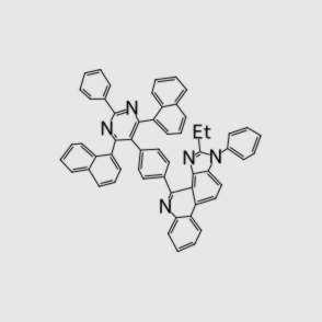 CCc1nc2c3c(-c4ccc(-c5c(-c6cccc7ccccc67)nc(-c6ccccc6)nc5-c5cccc6ccccc56)cc4)nc4ccccc4c3ccc2n1-c1ccccc1